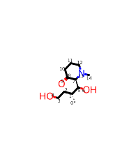 C[C@H](CCO)C(O)[C@H]1C(=O)CCCN1C